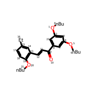 CCCCOc1cc(OCCCC)cc(C(=O)C=Cc2cc(CC)ccc2OCCCC)c1